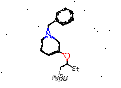 CCC(C[C@H](C)CC)OC1=CCCN(Cc2ccccc2)C1